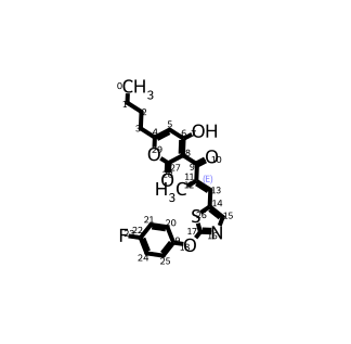 CCCCc1cc(O)c(C(=O)/C(C)=C/c2cnc(Oc3ccc(F)cc3)s2)c(=O)o1